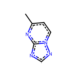 Cc1ccn2n[c]nc2n1